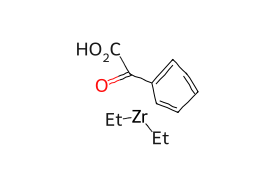 C[CH2][Zr][CH2]C.O=C(O)C(=O)c1ccccc1